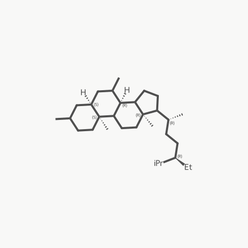 CC[C@H](CC[C@@H](C)C1CCC2[C@@H]3C(C)C[C@@H]4CC(C)CC[C@]4(C)C3CC[C@@]21C)C(C)C